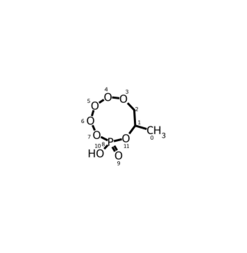 CC1COOOOOP(=O)(O)O1